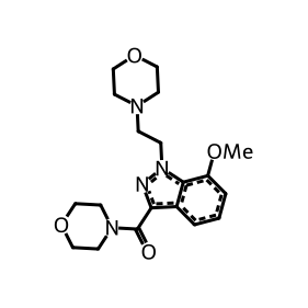 COc1cccc2c(C(=O)N3CCOCC3)nn(CCN3CCOCC3)c12